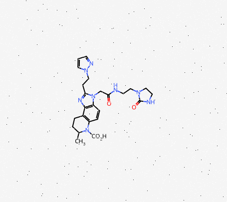 CC1CCc2c(ccc3c2nc(CCn2cccn2)n3CC(=O)NCCN2CCNC2=O)N1C(=O)O